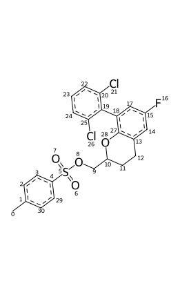 Cc1ccc(S(=O)(=O)OCC2CCc3cc(F)cc(-c4c(Cl)cccc4Cl)c3O2)cc1